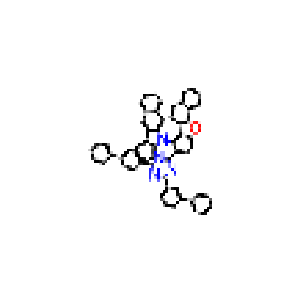 c1ccc(-c2ccc(-c3nc(-c4cccc(-c5ccccc5)c4)nc(-c4ccc5oc6c7ccccc7ccc6c5c4-n4c5ccccc5c5cc6ccccc6cc54)n3)cc2)cc1